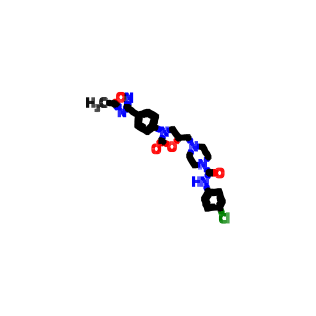 Cc1nc(-c2ccc(N3CC(CN4CCN(C(=O)Nc5ccc(Cl)cc5)CC4)OC3=O)cc2)no1